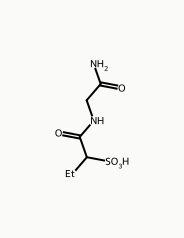 CCC(C(=O)NCC(N)=O)S(=O)(=O)O